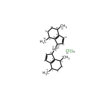 CC1CCC(C)C2=C1C=C[CH]2[Hf+2][CH]1C=CC2=C1C(C)CCC2C.[Cl-].[Cl-]